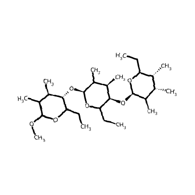 CCC1OC(OC)C(C)[C@@H](C)[C@@H]1O[C@@H]1OC(CC)[C@H](O[C@H]2OC(CC)[C@H](C)[C@H](C)C2C)[C@H](C)C1C